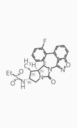 CCS(=O)(=O)N[C@H]1CN2C(=O)N(c3noc4cccc(-c5c(F)cccc5F)c34)C[C@@H]2[C@@H]1C